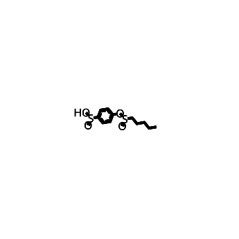 CCCCCS(=O)Oc1ccc(S(=O)O)cc1